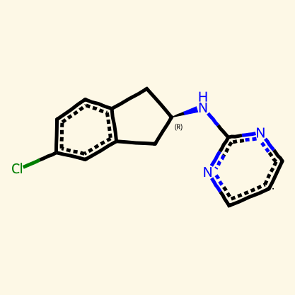 Clc1ccc2c(c1)C[C@H](Nc1nc[c]cn1)C2